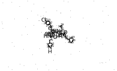 CS(=O)(=O)N[C@H](CCC1CCNCC1)C(=O)N1C[C@H](OCc2ccc(Cl)cc2)C[C@H]1C(=O)N[C@@H](CC1CC1)C(=O)C(=O)NCCc1ccccc1